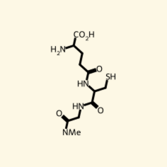 CNC(=O)CNC(=O)C(CS)NC(=O)CCC(N)C(=O)O